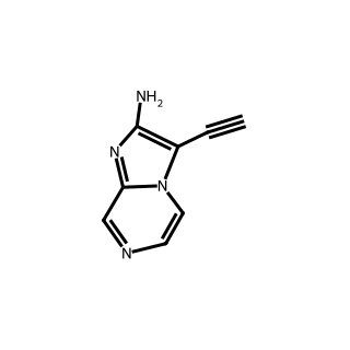 C#Cc1c(N)nc2cnccn12